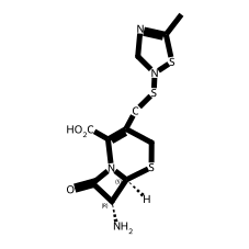 CC1=NCN(SCC2=C(C(=O)O)N3C(=O)[C@@H](N)[C@@H]3SC2)S1